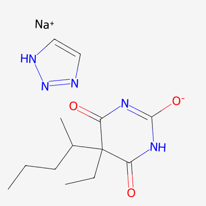 CCCC(C)C1(CC)C(=O)N=C([O-])NC1=O.[Na+].c1c[nH]nn1